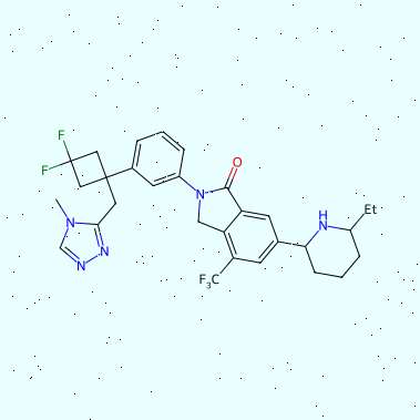 CCC1CCCC(c2cc3c(c(C(F)(F)F)c2)CN(c2cccc(C4(Cc5nncn5C)CC(F)(F)C4)c2)C3=O)N1